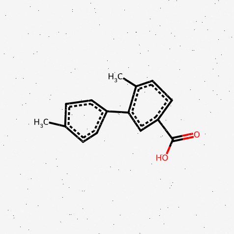 Cc1ccc(-c2cc(C(=O)O)ccc2C)cc1